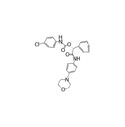 O=C(Nc1ccc(Cl)cc1)O[C@@H](C(=O)Nc1ccc(N2CCOCC2)cc1)c1ccccc1